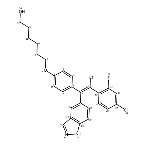 CCC(=C(c1ccc(OCCCCCCO)cc1)c1ccc2[nH]ncc2c1)c1ccc(Cl)cc1F